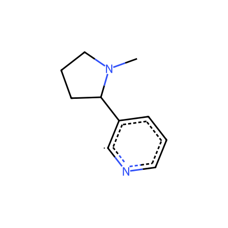 CN1CCCC1c1[c]nccc1